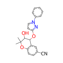 CC1(C)Oc2ccc(C#N)cc2C(Oc2ccn(-c3ccccc3)n2)C1O